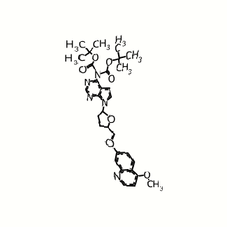 COc1ccnc2cc(OCC3CCC(n4ccc5c(N(C(=O)OC(C)(C)C)C(=O)OC(C)(C)C)ncnc54)O3)ccc12